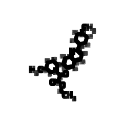 CCOC(=O)C(=O)N1C[C@@H](C)CC[C@@H]1c1ccc2ccc(C3CCN(C)CC3)nc2c1